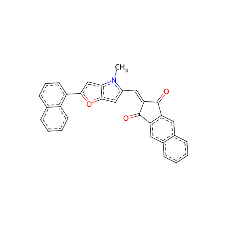 Cn1c(C=C2C(=O)c3cc4ccccc4cc3C2=O)cc2oc(-c3cccc4ccccc34)cc21